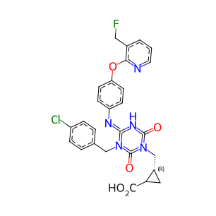 O=C(O)C1C[C@H]1Cn1c(=O)[nH]c(=Nc2ccc(Oc3ncccc3CF)cc2)n(Cc2ccc(Cl)cc2)c1=O